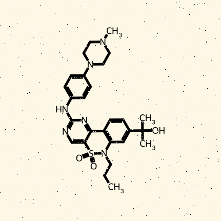 CCCN1c2cc(C(C)(C)O)ccc2-c2nc(Nc3ccc(N4CCN(C)CC4)cc3)ncc2S1(=O)=O